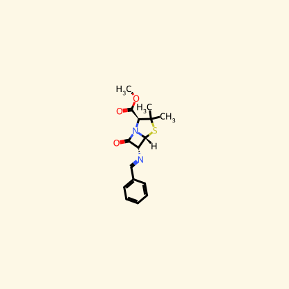 COC(=O)[C@@H]1N2C(=O)[C@@H](N=Cc3ccccc3)[C@H]2SC1(C)C